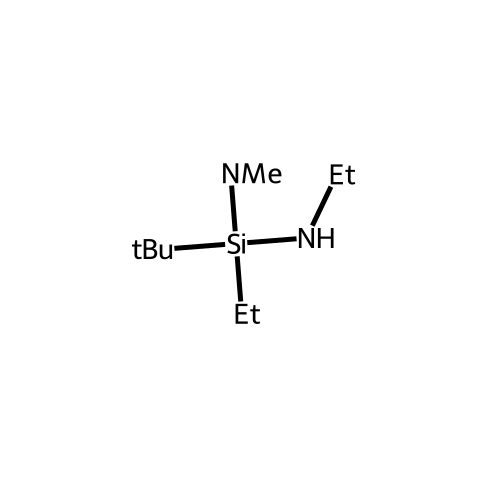 CCN[Si](CC)(NC)C(C)(C)C